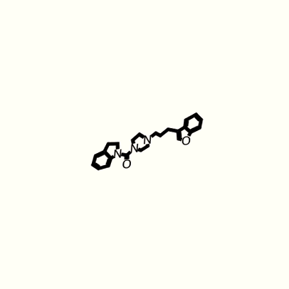 O=C(N1CCN(CCCc2coc3ccccc23)CC1)N1CCc2ccccc21